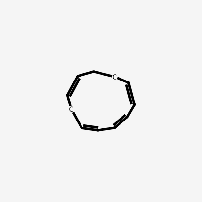 [C]1=CC=CCCC=CCC=C1